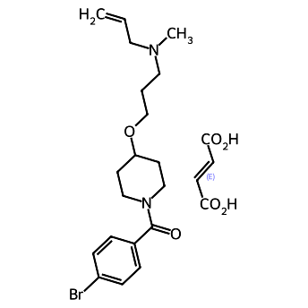 C=CCN(C)CCCOC1CCN(C(=O)c2ccc(Br)cc2)CC1.O=C(O)/C=C/C(=O)O